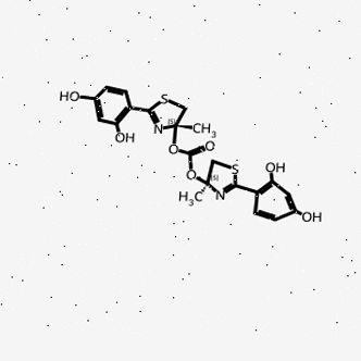 C[C@]1(OC(=O)O[C@@]2(C)CSC(c3ccc(O)cc3O)=N2)CSC(c2ccc(O)cc2O)=N1